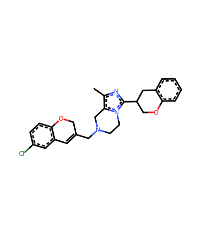 Cc1nc(C2COc3ccccc3C2)n2c1CN(CC1=Cc3cc(Cl)ccc3OC1)CC2